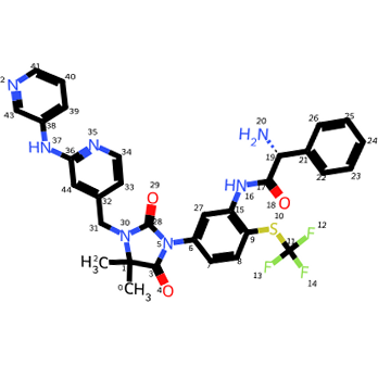 CC1(C)C(=O)N(c2ccc(SC(F)(F)F)c(NC(=O)[C@H](N)c3ccccc3)c2)C(=O)N1Cc1ccnc(Nc2cccnc2)c1